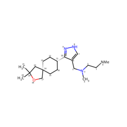 CNCCN(C)Cc1c[nH]nc1[C@H]1CC[C@]2(CC1)COC(C)(C)C2